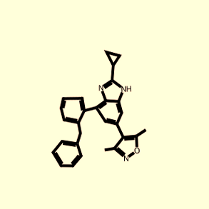 Cc1noc(C)c1-c1cc(-c2ccccc2Cc2ccccc2)c2nc(C3CC3)[nH]c2c1